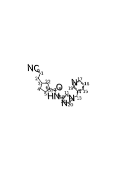 N#CCCC1CC[C@H](C(=O)Nc2cn(Cc3cccnc3)cn2)C1